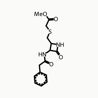 COC(=O)CSCC1NC(=O)C1NC(=O)Cc1ccccc1